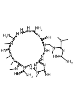 C/N=c1/n(C(=N)N)[nH][nH]/c(=N\C(=N)N(C)C)[nH][nH]n(CN(C)/C(=N\C(=N)N)N(C)C)c(=N)nc(N)[nH][nH]nc(N)n(C)c(=N)n(C)n1C